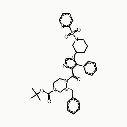 CC(C)(C)OC(=O)N1CCN(C(=O)c2ncn(C3CCCN(S(=O)(=O)c4ccccn4)C3)c2-c2ccccc2)[C@H](Cc2ccccc2)C1